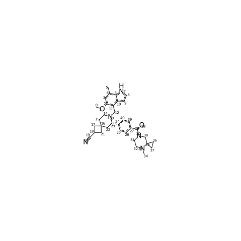 COc1cc(C)c2[nH]ccc2c1CN1CCC2(CC(C#N)C2)C[C@H]1c1ccc(C(=O)N2CCN(C)C3(CC3)C2)cc1